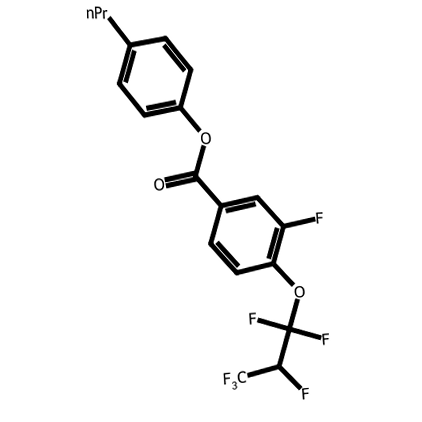 CCCc1ccc(OC(=O)c2ccc(OC(F)(F)C(F)C(F)(F)F)c(F)c2)cc1